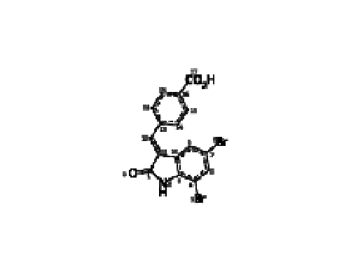 O=C1Nc2c(Br)cc(Br)cc2C1=Cc1ccc(C(=O)O)cc1